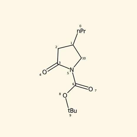 CCCC1CC(=O)N(C(=O)OC(C)(C)C)C1